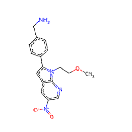 COCCn1c(-c2ccc(CN)cc2)cc2cc([N+](=O)[O-])cnc21